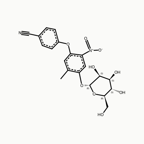 Cc1cc(Oc2ccc(C#N)cc2)c([N+](=O)[O-])cc1O[C@H]1O[C@H](CO)[C@@H](O)[C@H](O)[C@@H]1O